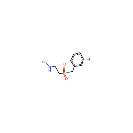 CCC(C)NCCS(=O)(=O)Cc1cccc(F)c1